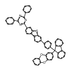 c1ccc(-c2nc(-c3ccccc3)nc(-c3ccc4c(c3)sc3cc(-c5ccc(C6(c7ccc8c(c7)Oc7ccccc7O8)c7ccccc7-c7ccccc76)cc5)ccc34)n2)cc1